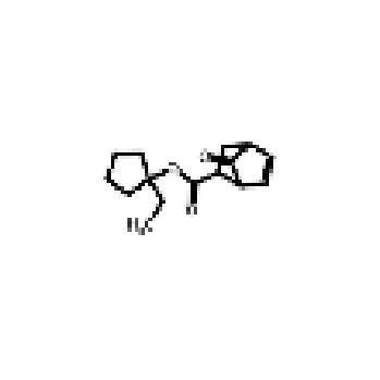 CCC1(OC(=O)C2CC3C=CC2C3=O)CCCC1